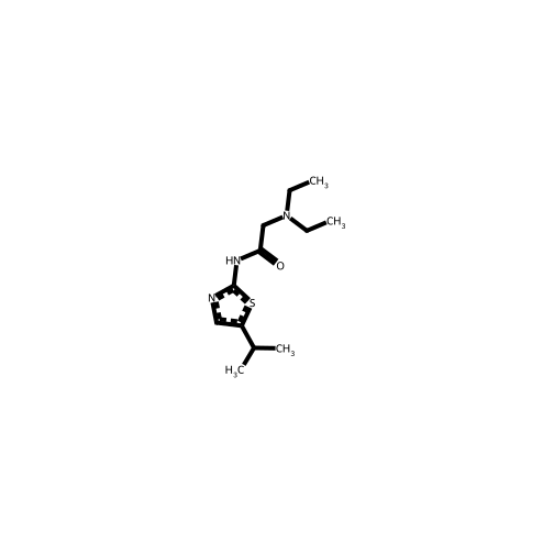 CCN(CC)CC(=O)Nc1ncc(C(C)C)s1